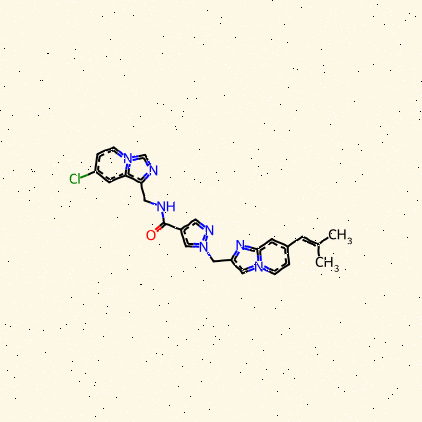 CC(C)=Cc1ccn2cc(Cn3cc(C(=O)NCc4ncn5ccc(Cl)cc45)cn3)nc2c1